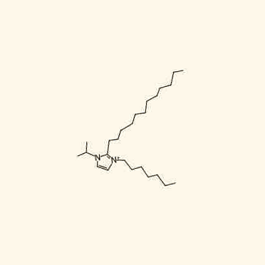 CCCCCCCCCCCCc1n(C(C)C)cc[n+]1CCCCCCC